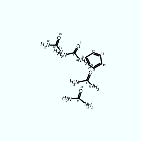 NC(N)=O.NC(N)=O.NC(N)=O.NC(N)=O.c1ccccc1